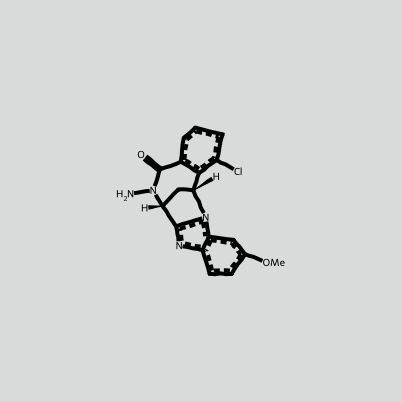 COc1ccc2nc3n(c2c1)[C@@H]1C[C@H]3N(N)C(=O)c2cccc(Cl)c21